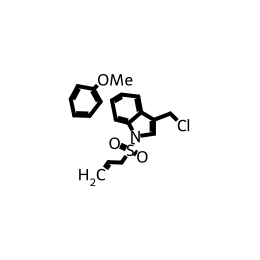 C=CCS(=O)(=O)n1cc(CCl)c2ccccc21.COc1ccccc1